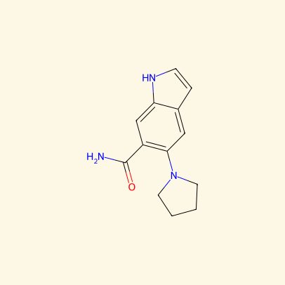 NC(=O)c1cc2[nH]ccc2cc1N1CCCC1